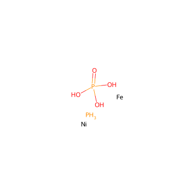 O=P(O)(O)O.P.[Fe].[Ni]